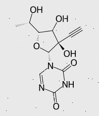 C#C[C@@]1(O)C(O)[C@@H]([C@H](C)O)O[C@H]1n1cnc(=O)[nH]c1=O